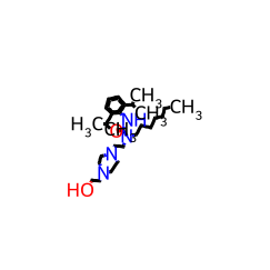 CCCCCCCN(CCN1CCN(CCO)CC1)C(=O)Nc1c(C(C)C)cccc1C(C)C